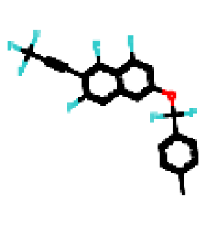 Cc1ccc(C(F)(F)Oc2cc(F)c3c(F)c(C#CC(F)(F)F)c(F)cc3c2)cc1